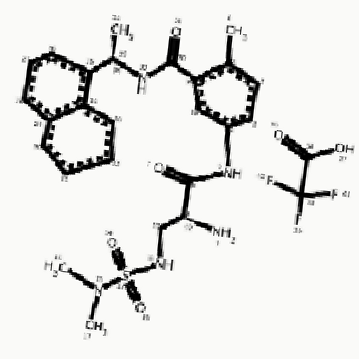 Cc1ccc(NC(=O)[C@@H](N)CNS(=O)(=O)N(C)C)cc1C(=O)N[C@H](C)c1cccc2ccccc12.O=C(O)C(F)(F)F